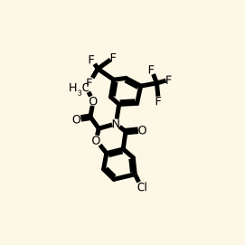 COC(=O)C1Oc2ccc(Cl)cc2C(=O)N1c1cc(C(F)(F)F)cc(C(F)(F)F)c1